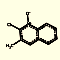 Cc1cc2ccccc2[n+]([O-])c1Cl